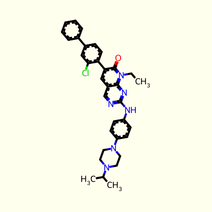 CCn1c(=O)c(-c2ccc(-c3ccccc3)cc2Cl)cc2cnc(Nc3ccc(N4CCN(C(C)C)CC4)cc3)nc21